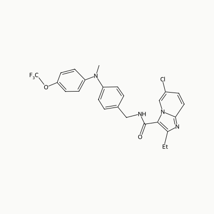 CCc1nc2ccc(Cl)cn2c1C(=O)NCc1ccc(N(C)c2ccc(OC(F)(F)F)cc2)cc1